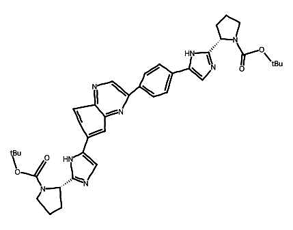 CC(C)(C)OC(=O)N1CCC[C@H]1c1ncc(-c2ccc(-c3cnc4ccc(-c5cnc([C@@H]6CCCN6C(=O)OC(C)(C)C)[nH]5)cc4n3)cc2)[nH]1